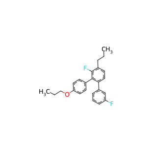 CCCOc1ccc(-c2c(-c3cccc(F)c3)ccc(CCC)c2F)cc1